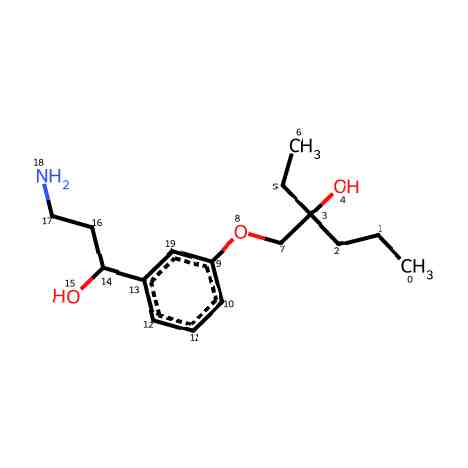 CCCC(O)(CC)COc1cccc(C(O)CCN)c1